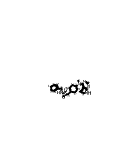 CN(c1ncnc2[nH]ccc12)C1CCC(CS(=O)(=O)NCc2ccccc2)CC1